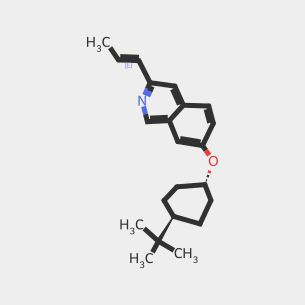 C/C=C/c1cc2ccc(O[C@H]3CC[C@H](C(C)(C)C)CC3)cc2cn1